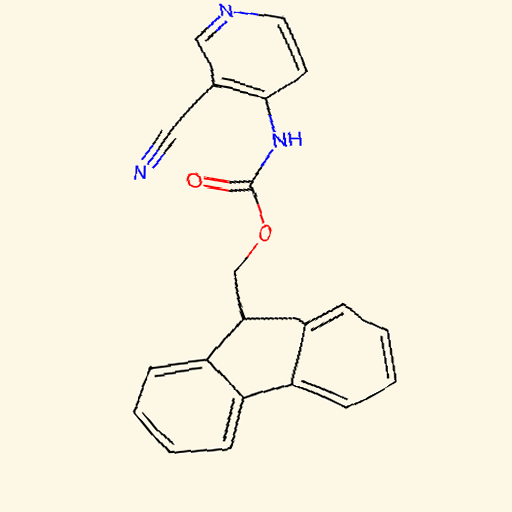 N#Cc1cnccc1NC(=O)OCC1c2ccccc2-c2ccccc21